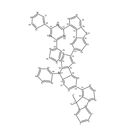 CC1(C)c2ccccc2-c2cccc(-c3ccc4c(c3)c3cc(-c5ccc6sc7cccc(-c8nc(-c9ccccc9)nc(-c9ccccc9)n8)c7c6c5)ccc3n4-c3ccccc3)c21